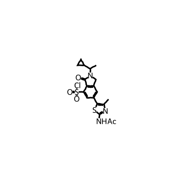 CC(=O)Nc1nc(C)c(-c2cc3c(c(S(=O)(=O)Cl)c2)C(=O)N(C(C)C2CC2)C3)s1